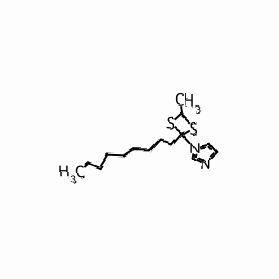 CCCCCCCCCC1(n2ccnc2)SC(C)S1